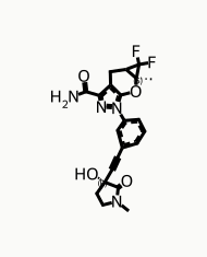 CN1CC[C@@](O)(C#Cc2cccc(-n3nc(C(N)=O)c4c3O[C@@]3(C)C(C4)C3(F)F)c2)C1=O